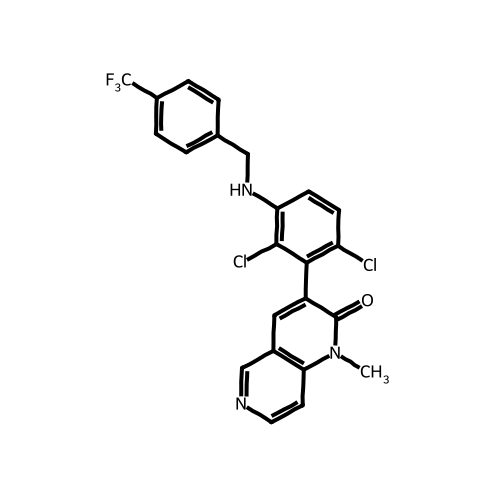 Cn1c(=O)c(-c2c(Cl)ccc(NCc3ccc(C(F)(F)F)cc3)c2Cl)cc2cnccc21